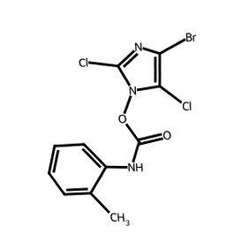 Cc1ccccc1NC(=O)On1c(Cl)nc(Br)c1Cl